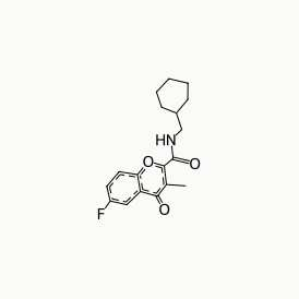 Cc1c(C(=O)NCC2CCCCC2)oc2ccc(F)cc2c1=O